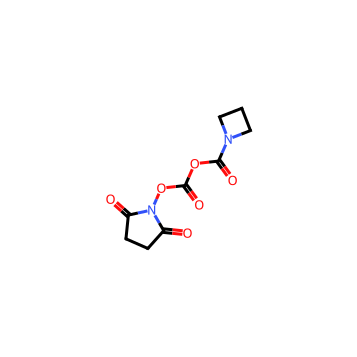 O=C(OC(=O)N1CCC1)ON1C(=O)CCC1=O